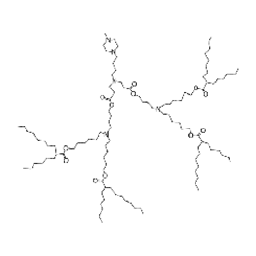 CCCCCCCCC(CCCCCC)C(=O)OCCCCCCN(CCCCCCOC(=O)C(CCCCCC)CCCCCCCC)CCCCOC(=O)CCN(CCCCN1CCN(C)CC1)CCC(=O)OCCCCN(CCCCCCOC(=O)C(CCCCCC)CCCCCCCC)CCCCCCOC(=O)C(CCCCCC)CCCCCCCC